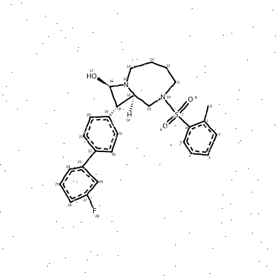 Cc1ccccc1S(=O)(=O)N1CCCCN2[C@H](O)[C@@H](c3ccc(-c4cccc(F)c4)cc3)[C@@H]2C1